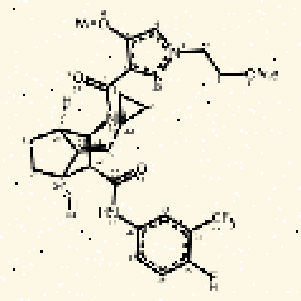 COCCn1cc(OC)c(C(=O)N[C@H]2[C@@H](C(=O)Nc3ccc(F)c(C(F)(F)F)c3)[C@H]3CC[C@@H]2/C3=C\C2CC2)n1